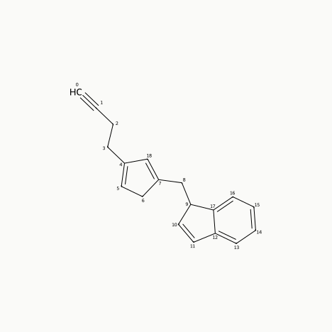 C#CCCC1=CCC(CC2C=Cc3ccccc32)=C1